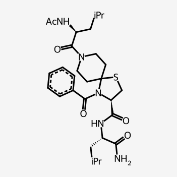 CC(=O)N[C@@H](CC(C)C)C(=O)N1CCC2(CC1)SC[C@@H](C(=O)N[C@@H](CC(C)C)C(N)=O)N2C(=O)c1ccccc1